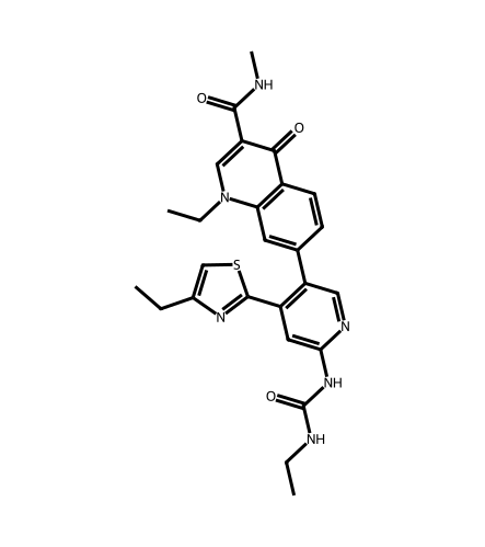 CCNC(=O)Nc1cc(-c2nc(CC)cs2)c(-c2ccc3c(=O)c(C(=O)NC)cn(CC)c3c2)cn1